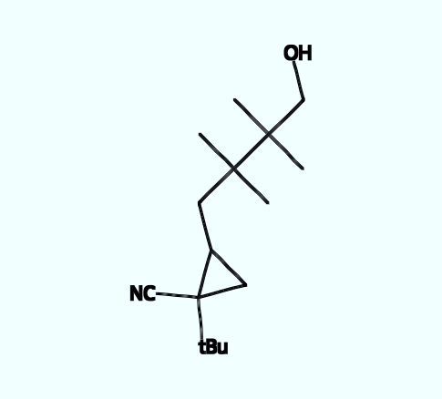 CC(C)(C)C1(C#N)CC1CC(C)(C)C(C)(C)CO